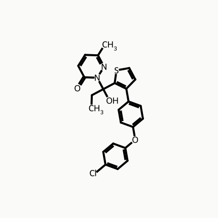 CCC(O)(c1sccc1-c1ccc(Oc2ccc(Cl)cc2)cc1)n1nc(C)ccc1=O